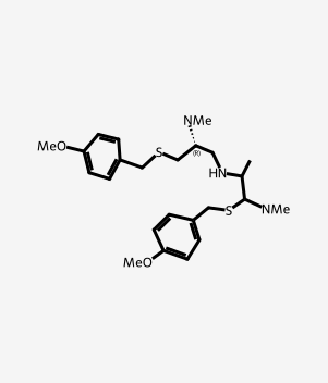 CNC(SCc1ccc(OC)cc1)C(C)NC[C@H](CSCc1ccc(OC)cc1)NC